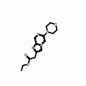 CCOC(=O)Cc1cn2cc(N3CCOCC3)ncc2n1